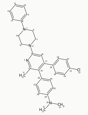 Cc1nc(N2CCN(c3ccccc3)CC2)cc(-c2ccc(Cl)cc2)c1-c1ccc(N(C)C)cc1